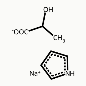 CC(O)C(=O)[O-].[Na+].c1cc[nH]c1